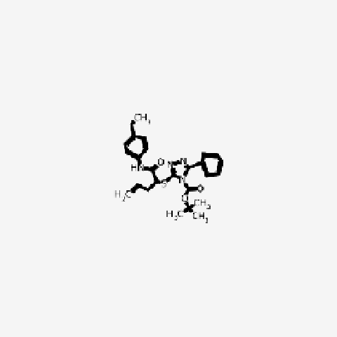 C=CCC(Sc1nnc(-c2ccccc2)n1C(=O)OC(C)(C)C)C(=O)Nc1ccc(CC)cc1